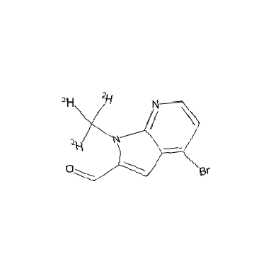 [2H]C([2H])([2H])n1c(C=O)cc2c(Br)ccnc21